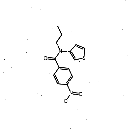 CCCN(C(=O)c1ccc([N+](=O)[O-])cc1)c1ccsc1